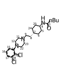 CCCCC(=O)N[C@H]1CC[C@H](CCN2CCN(c3cccc(Cl)c3Cl)CC2)CC1